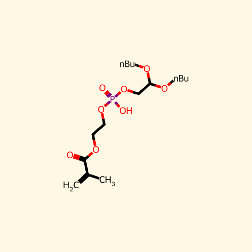 C=C(C)C(=O)OCCOP(=O)(O)OCC(OCCCC)OCCCC